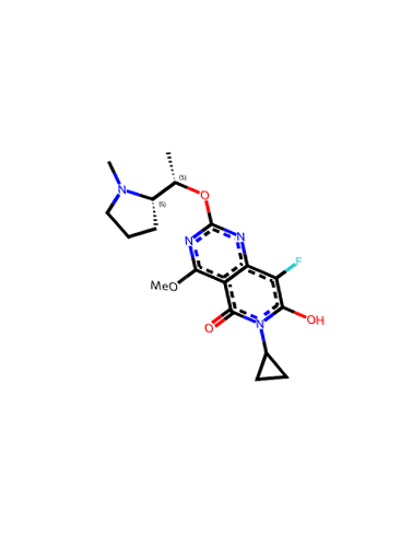 COc1nc(O[C@@H](C)[C@@H]2CCCN2C)nc2c(F)c(O)n(C3CC3)c(=O)c12